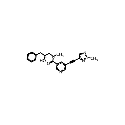 CN(C[C@@H](O)Cc1ccccc1)C(=O)c1cncc(C#Cc2cnn(C)n2)c1